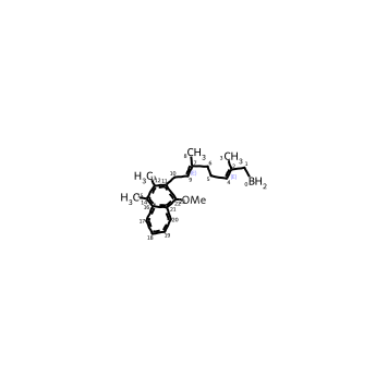 BC/C(C)=C/CC/C(C)=C/Cc1c(C)c(C)c2ccccc2c1OC